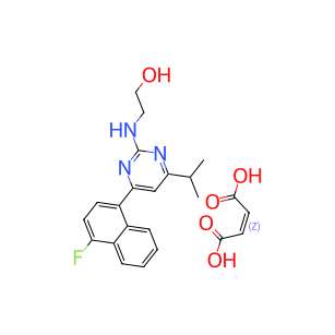 CC(C)c1cc(-c2ccc(F)c3ccccc23)nc(NCCO)n1.O=C(O)/C=C\C(=O)O